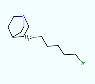 C1CN2CCC1CC2.CCCCCCBr